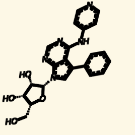 OC[C@H]1O[C@@H](n2cc(-c3ccccc3)c3c(Nc4ccncc4)ncnc32)[C@@H](O)[C@H]1O